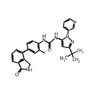 CC(C)(C)c1cc(NC(=O)Nc2ccc(-c3cccc4c3CNC4=O)cc2F)n(-c2cccnc2)n1